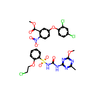 COC(=O)c1cc(Oc2ccc(Cl)cc2Cl)ccc1[N+](=O)[O-].COc1nc(C)nc(NC(=O)NS(=O)(=O)c2ccccc2OCCCl)n1